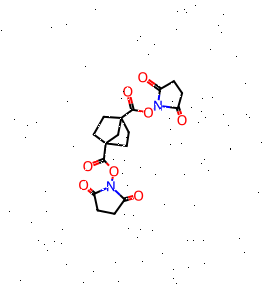 O=C1CCC(=O)N1OC(=O)C12CCC(C(=O)ON3C(=O)CCC3=O)(CC1)C2